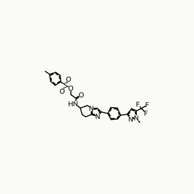 Cc1ccc(S(=O)(=O)OCC(=O)NC2CCc3nc(-c4ccc(-c5cc(C(F)(F)F)n(C)n5)cc4)cn3C2)cc1